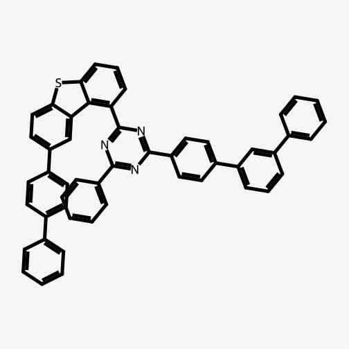 c1ccc(-c2ccc(-c3ccc4sc5cccc(-c6nc(-c7ccccc7)nc(-c7ccc(-c8cccc(-c9ccccc9)c8)cc7)n6)c5c4c3)cc2)cc1